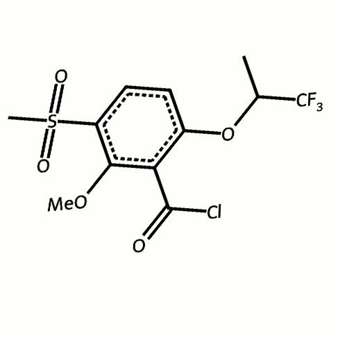 COc1c(S(C)(=O)=O)ccc(OC(C)C(F)(F)F)c1C(=O)Cl